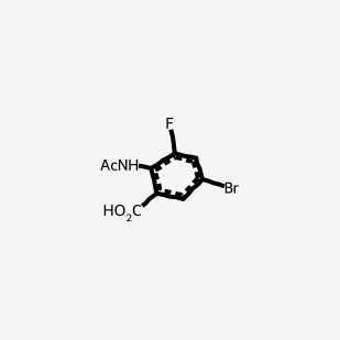 CC(=O)Nc1c(F)cc(Br)cc1C(=O)O